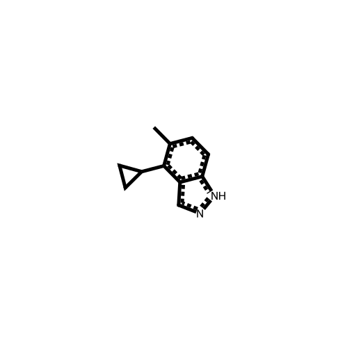 Cc1ccc2[nH]ncc2c1C1CC1